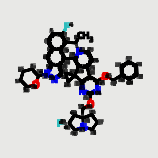 CCc1c(F)ccc2cc3c(cnn3C3CCCCO3)c(-c3nccc4c3C3(CC3)c3nc(OC[C@@]56CCCN5C[C@H](F)C6)nc(OCc5ccccc5)c3-4)c12